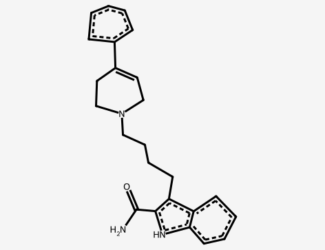 NC(=O)c1[nH]c2ccccc2c1CCCCN1CC=C(c2ccccc2)CC1